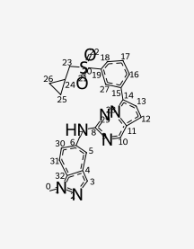 Cn1ncc2cc(Nc3ncc4ccc(-c5cccc(S(=O)(=O)CC6CC6)c5)n4n3)ccc21